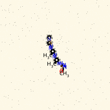 COCc1nnc(/N=N/c2ccc(/N=N/c3ccc(/N=N/c4ccc(N5CCCC5)s4)cc3C)cc2C)s1